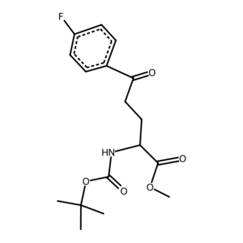 COC(=O)C(CCC(=O)c1ccc(F)cc1)NC(=O)OC(C)(C)C